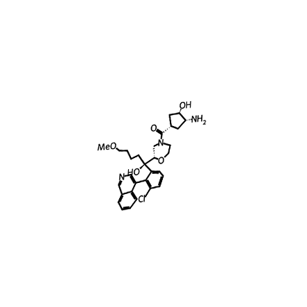 COCCCC[C@@](O)(c1cccc(Cl)c1-c1cncc2ccccc12)[C@@H]1CN(C(=O)[C@H]2C[C@@H](N)[C@@H](O)C2)CCO1